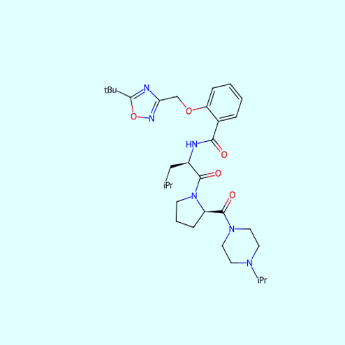 CC(C)C[C@@H](NC(=O)c1ccccc1OCc1noc(C(C)(C)C)n1)C(=O)N1CCC[C@@H]1C(=O)N1CCN(C(C)C)CC1